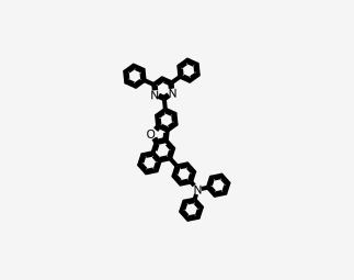 c1ccc(-c2cc(-c3ccccc3)nc(-c3ccc4c(c3)oc3c5ccccc5c(-c5ccc(N(c6ccccc6)c6ccccc6)cc5)cc43)n2)cc1